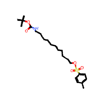 Cc1ccc(S(=O)(=O)OCCCCCCCCCCCNC(=O)OC(C)(C)C)cc1